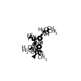 Cc1cc(C(CCC2CC2)(N[S@+]([O-])C(C)(C)C)c2ccc(F)c(NC(=O)c3cc(C(F)(F)F)nn3-c3cccc(CNC(=O)OC(C)(C)C)c3)c2)ccn1